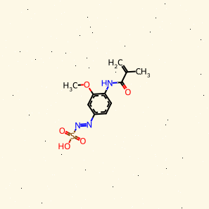 C=C(C)C(=O)Nc1ccc(/N=N/S(=O)(=O)O)cc1OC